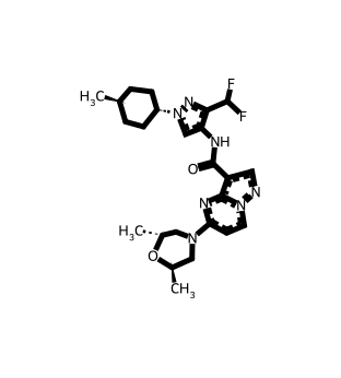 C[C@@H]1CN(c2ccn3ncc(C(=O)Nc4cn([C@H]5CC[C@H](C)CC5)nc4C(F)F)c3n2)C[C@@H](C)O1